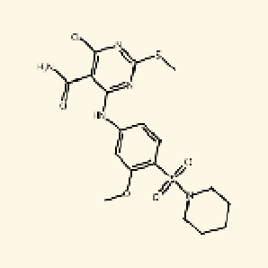 COc1cc(Nc2nc(SC)nc(Cl)c2C(N)=O)ccc1S(=O)(=O)N1CCCCC1